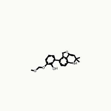 COCOc1cccc(-c2ccc3c4c2COC4=CC(C)(C)N3)c1O